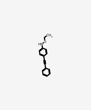 CCONc1ccc(C#Cc2ccccc2)cc1